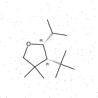 CC(C)[C@H]1OCC(C)(C)[C@H]1C(C)(C)C